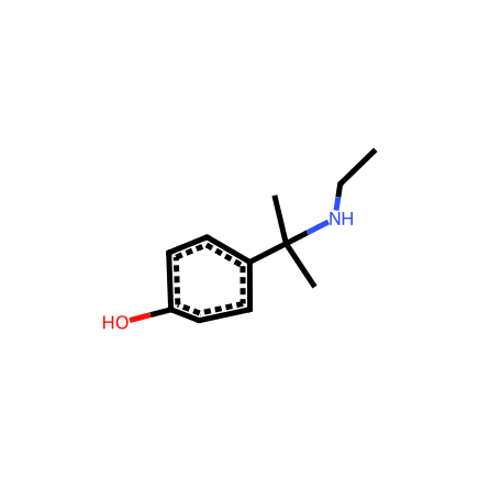 CCNC(C)(C)c1ccc(O)cc1